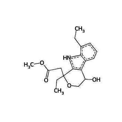 CCc1cccc2c3c([nH]c12)C(CC)(CC(=O)OC)OCC3O